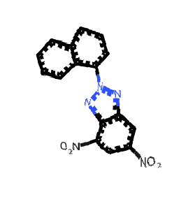 O=[N+]([O-])c1cc([N+](=O)[O-])c2nn(-c3cccc4ccccc34)nc2c1